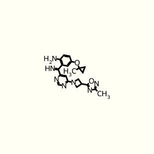 Cc1noc(C2CN(c3cc(C(=N)c4cc(OC5(C)CC5)ccc4N)ncn3)C2)n1